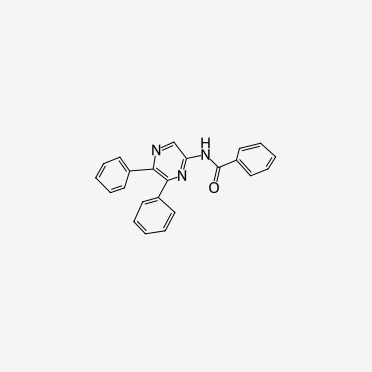 O=C(Nc1cnc(-c2ccccc2)c(-c2ccccc2)n1)c1ccccc1